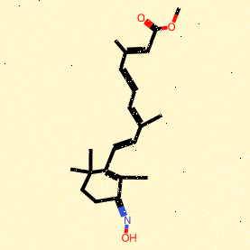 COC(=O)C=C(C)C=CC=C(C)C=CC1=C(C)C(=NO)CCC1(C)C